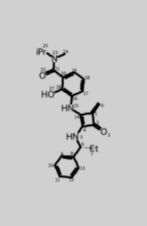 C=C1C(=O)C(N[C@H](CC)c2ccccc2)=C1Nc1cccc(C(=O)N(C)C(C)C)c1O